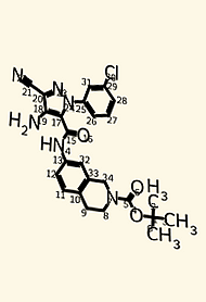 CC(C)(C)OC(=O)N1CCc2ccc(NC(=O)c3c(N)c(C#N)nn3-c3cccc(Cl)c3)cc2C1